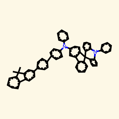 CC1(C)c2ccccc2-c2ccc(-c3ccc(-c4ccc(N(c5ccccc5)c5ccc6c(c5)-c5ccccc5C65c6ccccc6N(c6ccccc6)c6ccccc65)cc4)cc3)cc21